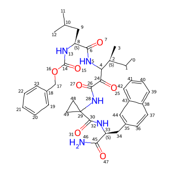 CC[C@H](C)C(NC(=O)[C@H](CC(C)C)NC(=O)OCc1ccccc1)C(=O)C(=O)NC1(C(=O)N[C@@H](Cc2ccc3ccccc3c2)C(N)=O)CC1